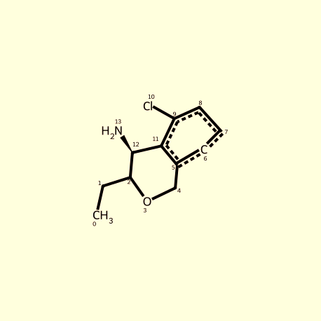 CCC1OCc2cccc(Cl)c2[C@@H]1N